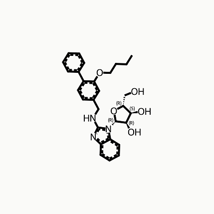 CCCCOc1cc(CNc2nc3ccccc3n2[C@@H]2O[C@H](CO)[C@@H](O)[C@H]2O)ccc1-c1ccccc1